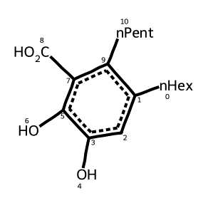 CCCCCCc1cc(O)c(O)c(C(=O)O)c1CCCCC